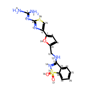 NC(N)=Nc1nc(-c2ccc(CNC3=NS(=O)(=O)c4ccccc43)o2)cs1